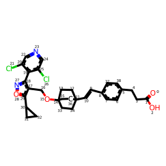 O=C(O)CCc1ccc(C=CC23CCC(OCc4c(-c5c(Cl)cncc5Cl)noc4C4CC4)(CC2)CC3)cc1